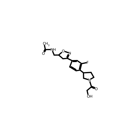 CC(=O)NCC1CC(c2ccc(C3CCN(C(=O)CO)C3)c(F)c2)=NO1